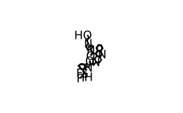 O=C(CN1CCc2nc3ccccc3c(C(=O)N3CCN(CCO)CC3)c2C1)Nc1ccccc1SC(F)(F)F